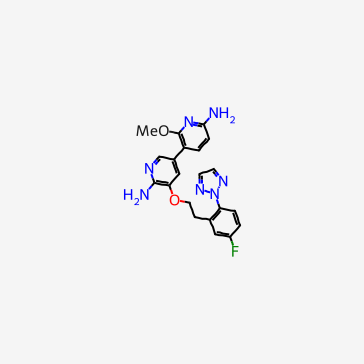 COc1nc(N)ccc1-c1cnc(N)c(OCCc2cc(F)ccc2-n2nccn2)c1